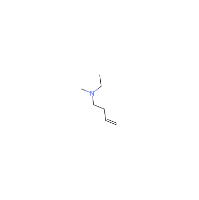 C=CCCN(C)CC